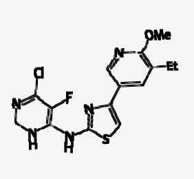 CCc1cc(-c2csc(NC3=C(F)C(Cl)=NCN3)n2)cnc1OC